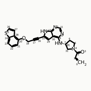 C=CC(=O)N1CC[C@@H](Nc2ncnc3[nH]c(C#CCOc4cccc5sccc45)cc23)C1